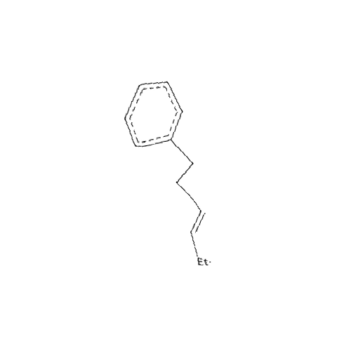 C[CH]/C=C/CCc1ccccc1